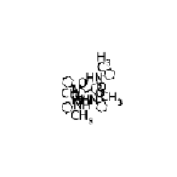 CC1CCCCC1NC(=O)CC(C(=O)NC1CCCCC1C)C(CC(=O)NC1CCCCC1C)C(=O)NC1CCCCC1C